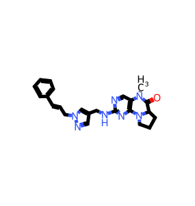 CN1C(=O)C2CCCN2c2nc(NCc3cnn(C/C=C/c4ccccc4)c3)ncc21